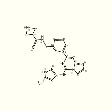 Cc1cc(Nc2nc(-c3cccc(CNC(=O)C4CNC4)c3)cc3nccn23)n[nH]1